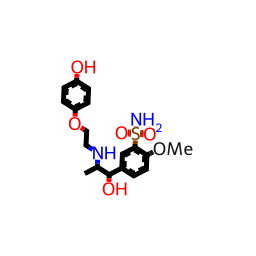 COc1ccc(C(O)C(C)NCCOc2ccc(O)cc2)cc1S(N)(=O)=O